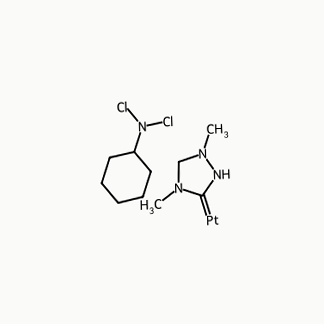 CN1CN(C)[C](=[Pt])N1.ClN(Cl)C1CCCCC1